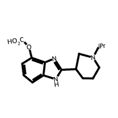 CC(C)N1CCCC(c2nc3c(OC(=O)O)cccc3[nH]2)C1